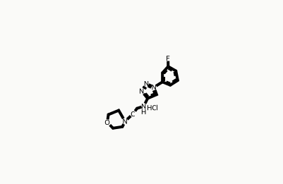 Cl.Fc1cccc(-n2cc(NCCN3CCOCC3)nn2)c1